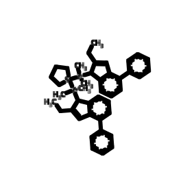 CCC1=Cc2c(-c3ccccc3)cccc2[CH]1[Zr]([CH3])([CH3])[Si]1([Zr]([CH3])([CH3])[CH]2C(CC)=Cc3c(-c4ccccc4)cccc32)CCCC1